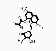 CCC(CC)C(=O)O[C@H]1C[C@@H](C)C=C2C=C[C@H](C)[C@H](CC[C@@H]3C[C@@H](O)C(C)C(=O)O3)[C@H]21